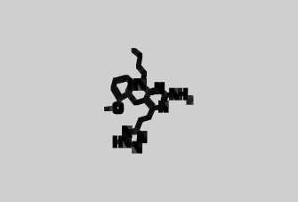 CCCCNc1nc(N)nc(CCc2nn[nH]n2)c1Cc1ccccc1OC